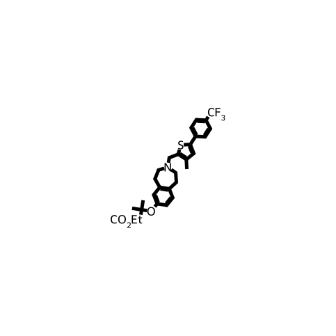 CCOC(=O)C(C)(C)Oc1ccc2c(c1)CCN(Cc1sc(-c3ccc(C(F)(F)F)cc3)cc1C)CC2